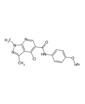 CCCOc1ccc(NC(=O)c2cnc3c(c(C)nn3C)c2Cl)cc1